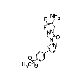 CS(=O)(=O)c1ccc(-c2ccnc(-n3cnn(CC(CN)=C(F)F)c3=O)c2)cc1